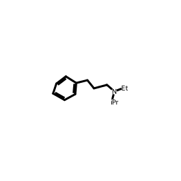 CCN(CCCc1ccccc1)C(C)C